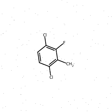 [CH2]c1c(Cl)ccc(Cl)c1F